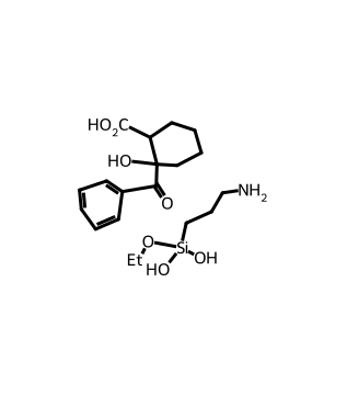 CCO[Si](O)(O)CCCN.O=C(O)C1CCCCC1(O)C(=O)c1ccccc1